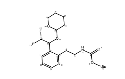 CC(C)(C)OC(=O)NCCc1ncccc1C(OC1CCCCO1)C(F)F